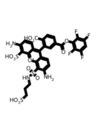 Nc1ccc2c(-c3cc(C(=O)Oc4c(F)c(F)cc(F)c4F)ccc3C(=O)O)c3ccc(N)c(S(=O)(=O)NCCCS(=O)(=O)O)c3[o+]c2c1S(=O)(=O)O